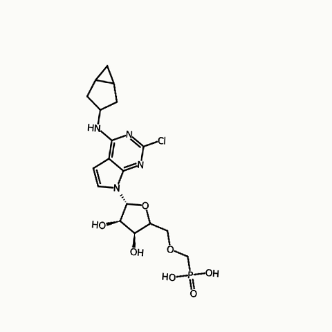 O=P(O)(O)COCC1O[C@@H](n2ccc3c(NC4CC5CC5C4)nc(Cl)nc32)[C@H](O)[C@@H]1O